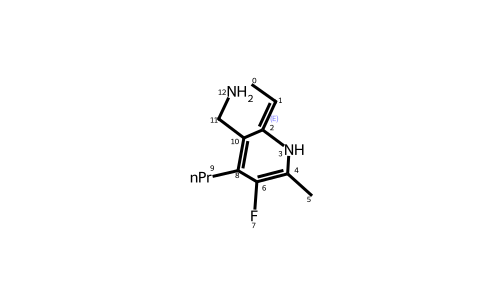 C/C=C1/NC(C)=C(F)C(CCC)=C1CN